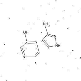 Nc1cc[nH]n1.Oc1cccnc1